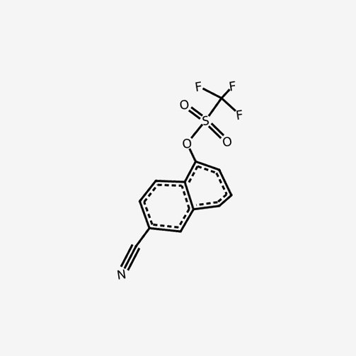 N#Cc1ccc2c(OS(=O)(=O)C(F)(F)F)cccc2c1